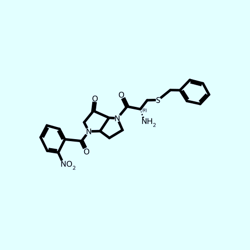 N[C@@H](CSCc1ccccc1)C(=O)N1CCC2C1C(=O)CN2C(=O)c1ccccc1[N+](=O)[O-]